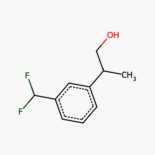 C[C](CO)c1cccc(C(F)F)c1